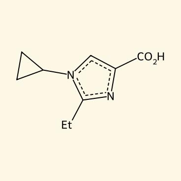 CCc1nc(C(=O)O)cn1C1CC1